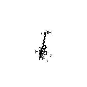 Cc1nc(C)c(NS(=O)(=O)c2cccc(CCCCCCC(=O)O)c2)s1